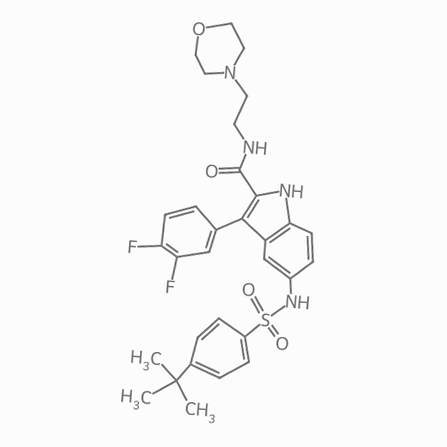 CC(C)(C)c1ccc(S(=O)(=O)Nc2ccc3[nH]c(C(=O)NCCN4CCOCC4)c(-c4ccc(F)c(F)c4)c3c2)cc1